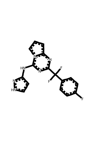 Fc1ccc(C(F)(F)c2nc(Nc3cc[nH]n3)n3cccc3n2)cc1